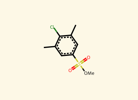 COS(=O)(=O)c1cc(C)c(Cl)c(C)c1